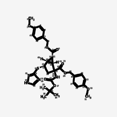 COc1ccc(COC(=O)[C@H]2[C@H]3[C@@H]2[C@](NC(=O)OC(C)(C)C)(C(=O)OCc2ccc(OC)cc2)C[C@@H]3Sc2nc[nH]n2)cc1